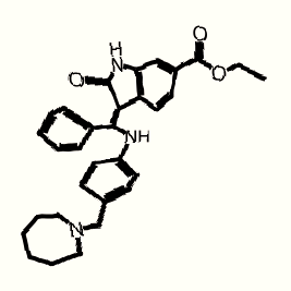 CCOC(=O)c1ccc2c(c1)NC(=O)C2=C(Nc1ccc(CN2CCCCCC2)cc1)c1ccccc1